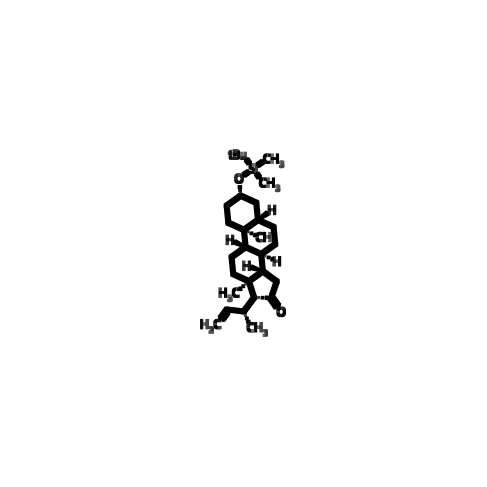 C=C[C@@H](C)[C@H]1C(=O)C[C@H]2[C@@H]3CC[C@H]4C[C@@H](O[Si](C)(C)C(C)(C)C)CC[C@]4(C)[C@H]3CC[C@]12C